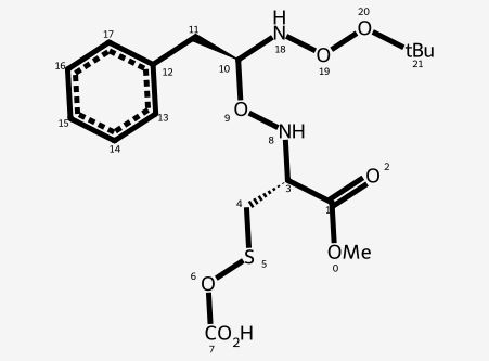 COC(=O)[C@H](CSOC(=O)O)NO[C@@H](Cc1ccccc1)NOOC(C)(C)C